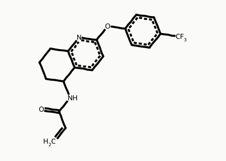 C=CC(=O)NC1CCCc2nc(Oc3ccc(C(F)(F)F)cc3)ccc21